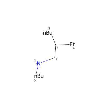 CCCC[N]CC(CC)CCCC